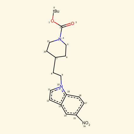 CC(C)(C)OC(=O)N1CCC(CCn2ccc3cc([N+](=O)[O-])ccc32)CC1